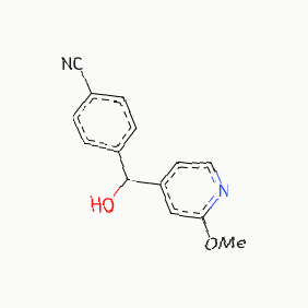 COc1cc(C(O)c2ccc(C#N)cc2)ccn1